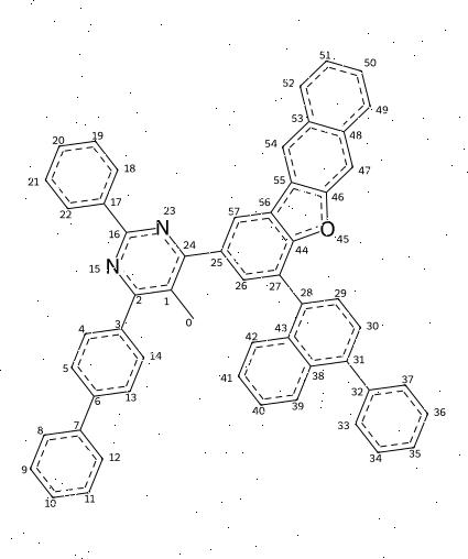 Cc1c(-c2ccc(-c3ccccc3)cc2)nc(-c2ccccc2)nc1-c1cc(-c2ccc(-c3ccccc3)c3ccccc23)c2oc3cc4ccccc4cc3c2c1